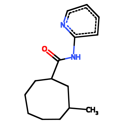 CC1CCCCCC(C(=O)Nc2ccccn2)C1